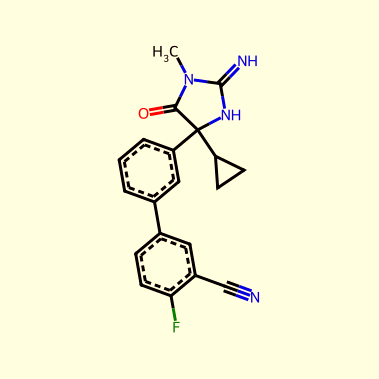 CN1C(=N)NC(c2cccc(-c3ccc(F)c(C#N)c3)c2)(C2CC2)C1=O